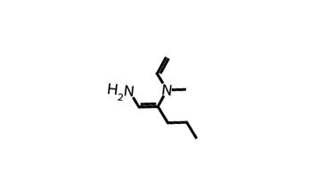 C=CN(C)/C(=C\N)CCC